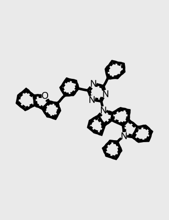 c1ccc(-c2nc(-c3cccc(-c4cccc5c4oc4ccccc45)c3)nc(-n3c4ccccc4c4c3ccc3c5ccccc5n(-c5ccccc5)c34)n2)cc1